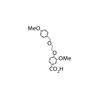 COc1ccc(COCCOc2ccc(C(=O)O)cc2OC)cc1